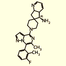 Cc1nc(N2CCC3(CC2)CC2N=CC=CC2[C@H]3N)c2ccnn2c1-c1cccc(F)c1C